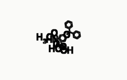 CC(=O)Nc1ccccc1[As](=O)(O)OO.O=C(c1ccccc1)c1ccccc1